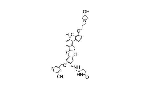 Cc1c(OCCCN2CC(O)C2)cccc1-c1cccc2c1CC[C@@H]2Oc1cc(OCc2cncc(C#N)c2)c(CNCC2CCC(=O)N2)cc1Cl